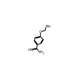 CC(C)(C)COc1ccc(C(=N)N)cc1